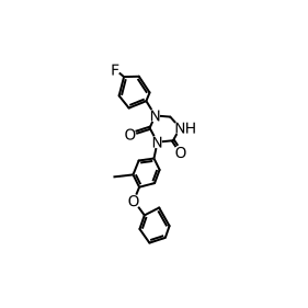 Cc1cc(N2C(=O)NCN(c3ccc(F)cc3)C2=O)ccc1Oc1ccccc1